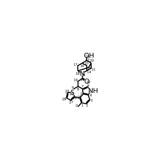 Cc1ccc2[nH]cc(C(C)CC(=O)N3C4CC5CC3CC(C4)C5O)c2c1-c1cccs1